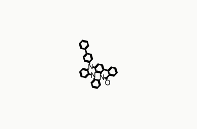 O=c1c2ccccc2c2ccc3c4c2n1-c1ccccc1N4c1ccccc1N3c1ccc(-c2ccccc2)cc1